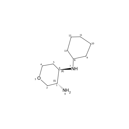 N[C@@H]1COCC[C@H]1NC1CCCCC1